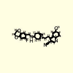 COc1ccc2ncc(C#N)c(CCN3CC4CC(NCc5cc6c(cc5F)OCCO6)CC3C4)c2c1